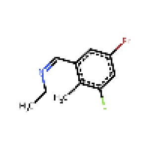 CC/N=C\c1cc(Br)cc(F)c1C